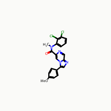 COc1ccc(-c2cnc3cnc(C(=O)N(C)c4cccc(Cl)c4Cl)cn23)cc1